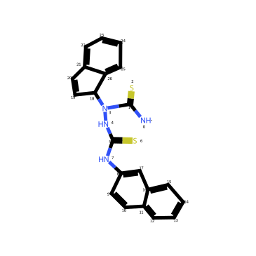 [NH]C(=S)N(NC(=S)Nc1ccc2ccccc2c1)C1C=Cc2ccccc21